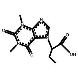 CCC(C(=O)O)n1cnc2c1c(=O)n(C)c(=O)n2C